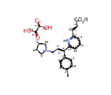 Cc1ccc(/C(=C\CN2CCCC2)c2cccc(/C=C/C(=O)O)n2)cc1.O=C(O)C(=O)O